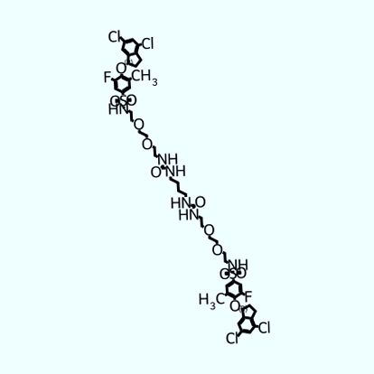 Cc1cc(S(=O)(=O)NCCOCCOCCNC(=O)NCCCCNC(=O)NCCOCCOCCNS(=O)(=O)c2cc(C)c(O[C@@H]3CCc4c(Cl)cc(Cl)cc43)c(F)c2)cc(F)c1O[C@@H]1CCc2c(Cl)cc(Cl)cc21